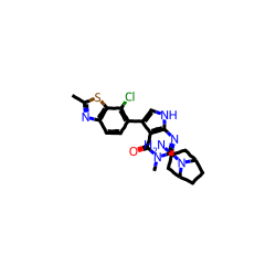 Cc1nc2ccc(-c3c[nH]c4nc(N5C6CCC5CC(N)C6)n(C)c(=O)c34)c(Cl)c2s1